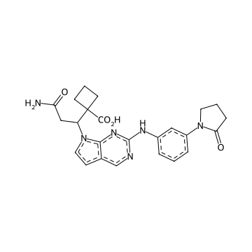 NC(=O)CC(n1ccc2cnc(Nc3cccc(N4CCCC4=O)c3)nc21)C1(C(=O)O)CCC1